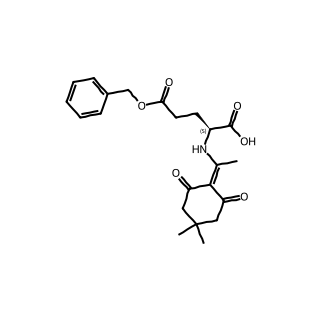 CC(N[C@@H](CCC(=O)OCc1ccccc1)C(=O)O)=C1C(=O)CC(C)(C)CC1=O